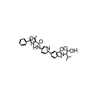 Cc1oc(-c2ccccc2)nc1C(=O)Nc1ccc(-c2ccc3c(c2)C(=O)N(C(C(=O)O)C(C)C)C3)nc1